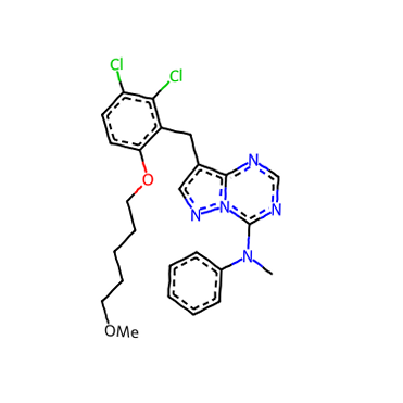 COCCCCCOc1ccc(Cl)c(Cl)c1Cc1cnn2c(N(C)c3ccccc3)ncnc12